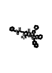 NC(=O)C(O)C(CCCCNC(=O)OCc1ccccc1)NC(=O)[C@@H]1C[C@@H](N2CCCCC2)CN1C(=O)[C@@H](CC1CCCCC1)NC(=O)c1ccc2ccccc2c1